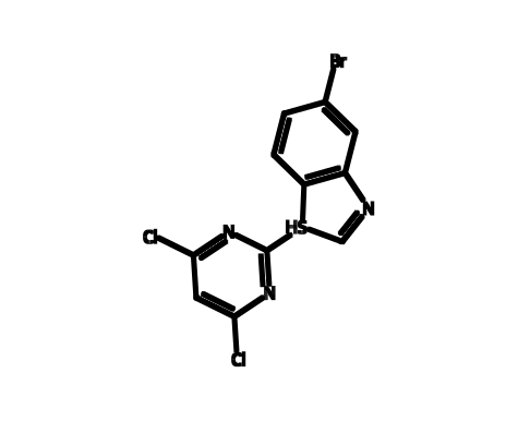 Clc1cc(Cl)nc([SH]2C=Nc3cc(Br)ccc32)n1